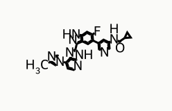 Cc1cn(-c2ccnc3[nH]c(-c4n[nH]c5cc(F)c(-c6cncc(NC(=O)C7CC7)c6)cc45)nc23)cn1